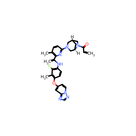 C=CC(=O)N1C[C@H]2C[C@@H]1CN(c1ccc(C)c(C(=C)Nc3ccc(Oc4ccn5ncnc5c4)c(C)c3F)n1)C2